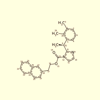 Cc1cccc([C@H](C)c2nccn2C(=O)OCCc2ccc3ccccc3c2)c1C